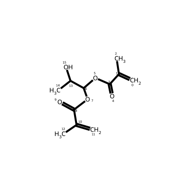 C=C(C)C(=O)OC(OC(=O)C(=C)C)C(C)O